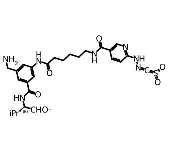 CC(C)[C@H]([C]=O)NC(=O)c1cc(CN)cc(NC(=O)CCCCCNC(=O)c2ccc(NN=C=S(=O)=O)nc2)c1